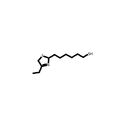 CCC1=NC(CCCCCCS)SC1